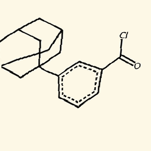 O=C(Cl)c1cccc(C23CC4CC(CC(C4)C2)C3)c1